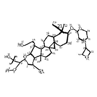 CCC1CC(C(OC(C)C)C(C)(C)O)OC2C(CO)C3C4CCC5C(C)(C)C(OC6CN(C7COC7)CCO6)CCC56CC46CCC3(C)C12